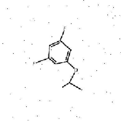 CC(C)Oc1[c]c(F)cc(F)c1